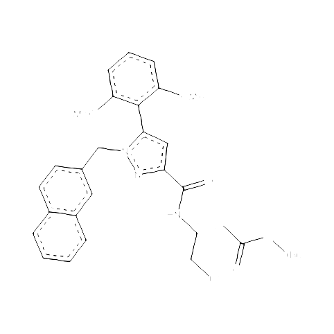 COc1cccc(OC)c1-c1cc(C(=O)N[C@H](CC(=O)OC(C)(C)C)CC(C)C)nn1Cc1ccc2ccccc2c1